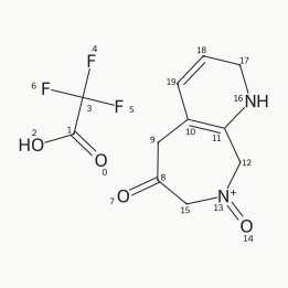 O=C(O)C(F)(F)F.O=C1CC2=C(C[N+](=O)C1)NCC=C2